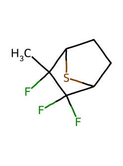 CC1(F)C2CCC(S2)C1(F)F